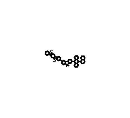 CC1(C)c2ccc(-c3ccc4c(c3)sc3cc5c(cc34)sc3ccccc35)cc2-c2ccc(-c3c4ccccc4c(C4=CC=CC5C=CC=CC45)c4ccccc34)cc21